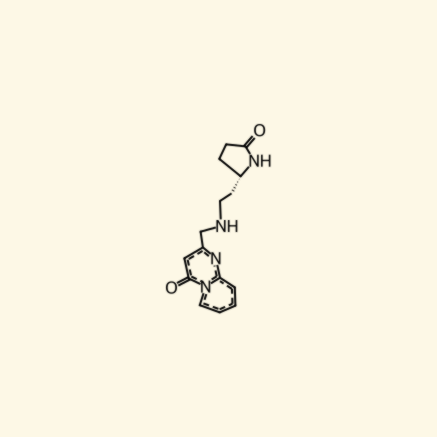 O=C1CC[C@@H](CCNCc2cc(=O)n3ccccc3n2)N1